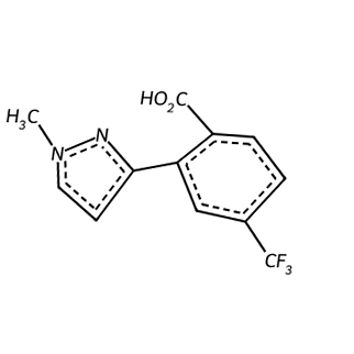 Cn1ccc(-c2cc(C(F)(F)F)ccc2C(=O)O)n1